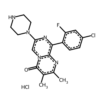 Cc1nc2c(-c3ccc(Cl)cc3F)nc(N3CCNCC3)cn2c(=O)c1C.Cl